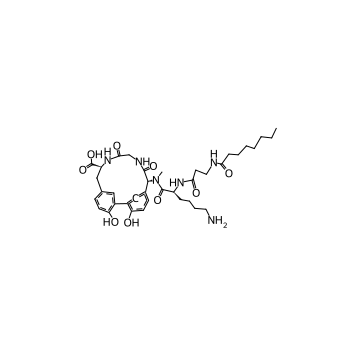 CCCCCCCC(=O)NCCC(=O)N[C@@H](CCCCN)C(=O)N(C)[C@@H]1C(=O)NCC(=O)N[C@H](C(=O)O)Cc2ccc(O)c(c2)-c2cc1ccc2O